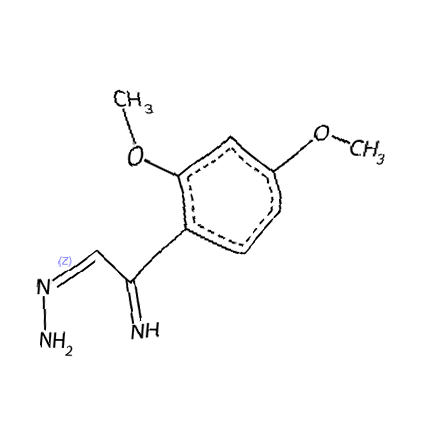 COc1ccc(C(=N)/C=N\N)c(OC)c1